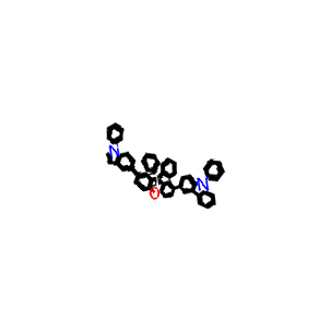 c1ccc(-n2ccc3cc(-c4ccc5c(c4)[Si](c4ccccc4)(c4ccccc4)c4cc(-c6ccc7c(c6)c6ccccc6n7-c6ccccc6)ccc4O5)ccc32)cc1